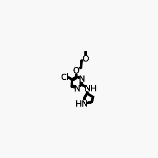 COCCOc1nc(NC2CCNC2)ncc1Cl